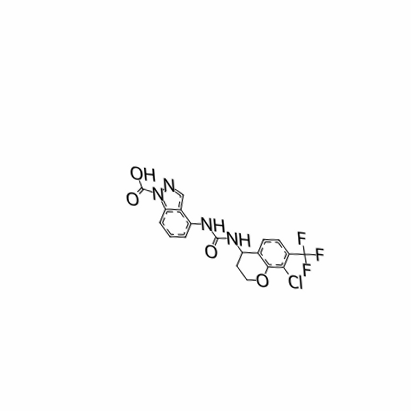 O=C(Nc1cccc2c1cnn2C(=O)O)NC1CCOc2c1ccc(C(F)(F)F)c2Cl